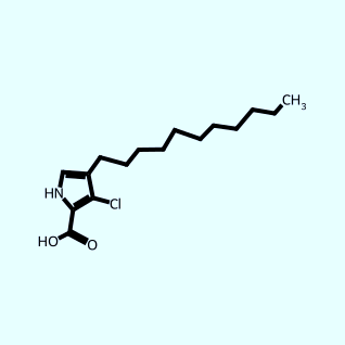 CCCCCCCCCCCc1c[nH]c(C(=O)O)c1Cl